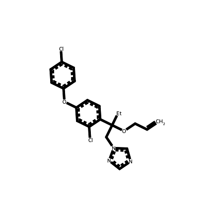 C=CCOC(CC)(Cn1cncn1)c1ccc(Oc2ccc(Cl)cc2)cc1Cl